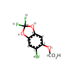 O=C(O)Oc1cc2c(cc1Br)OC(F)(F)O2